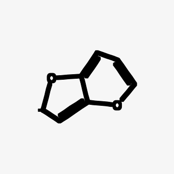 [CH]1C=C2OC=CC=C2O1